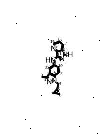 Cc1nn(CC2CC2)c2ccc(Nc3n[nH]c4cccnc34)cc12